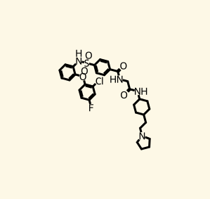 O=C(CNC(=O)c1ccc(S(=O)(=O)Nc2ccccc2Oc2ccc(F)cc2Cl)cc1)NC1CCC(CCN2CCCC2)CC1